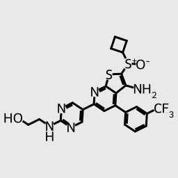 Nc1c([S+]([O-])C2CCC2)sc2nc(-c3cnc(NCCO)nc3)cc(-c3cccc(C(F)(F)F)c3)c12